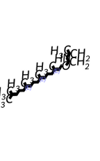 C=C(C)NC(=C)OC/C=C(\C)CC/C=C(\C)CC/C=C(\C)CCC=C(C)C